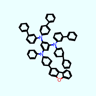 c1ccc(-c2ccc(N(c3cccc(-c4ccccc4)c3)c3cc(N(c4ccccc4)c4ccc(-c5ccc6oc7ccccc7c6c5)cc4)cc(N(c4ccc(-c5ccccc5)cc4)c4cccc(-c5ccccc5)c4)c3)cc2)cc1